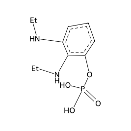 CCNc1cccc(OP(=O)(O)O)c1NCC